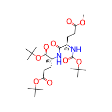 COC(=O)CC[C@@H](NC(=O)OC(C)(C)C)C(=O)N[C@H](CCC(=O)OC(C)(C)C)C(=O)OC(C)(C)C